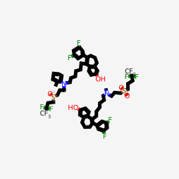 CN(CCCCCCC1=C(c2cc(F)cc(F)c2)CCCc2cc(O)ccc21)CCCS(=O)(=O)CCCC(F)(F)C(F)(F)F.Cc1ccccc1N(CCCCCCC1=C(c2cc(F)cc(F)c2)CCCc2cc(O)ccc21)CCC[S+]([O-])CCC(F)(F)C(F)(F)F